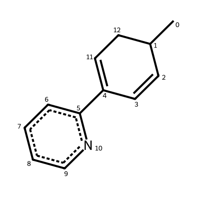 CC1C=CC(c2ccccn2)=CC1